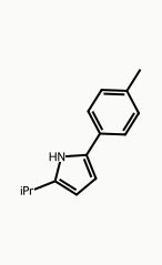 Cc1ccc(-c2ccc(C(C)C)[nH]2)cc1